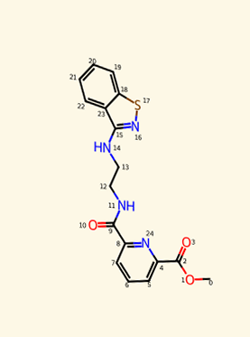 COC(=O)c1cccc(C(=O)NCCNc2nsc3ccccc23)n1